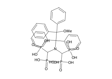 COC(c1ccccc1)(c1ccccc1)C(c1ccccc1)(c1ccccc1)N(C(P(=O)(O)O)P(=O)(O)O)C(P(=O)(O)O)P(=O)(O)O